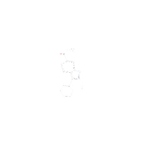 CBc1[nH]c2cc(C(=O)OC)ccc2c1C1CCCCC1